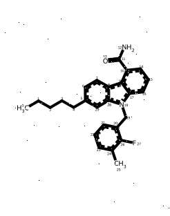 CCCCCc1c[c]c2c3c(C(N)=O)cccc3n(Cc3cccc(C)c3F)c2c1